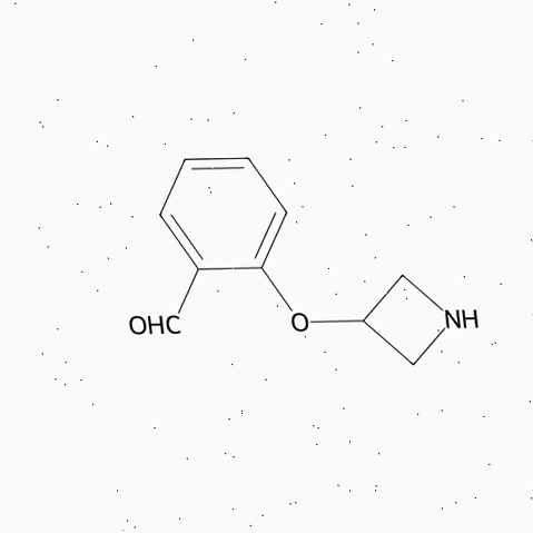 O=Cc1ccccc1OC1CNC1